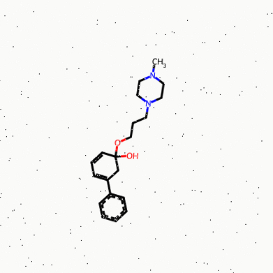 CN1CCN(CCCOC2(O)C=CC=C(c3ccccc3)C2)CC1